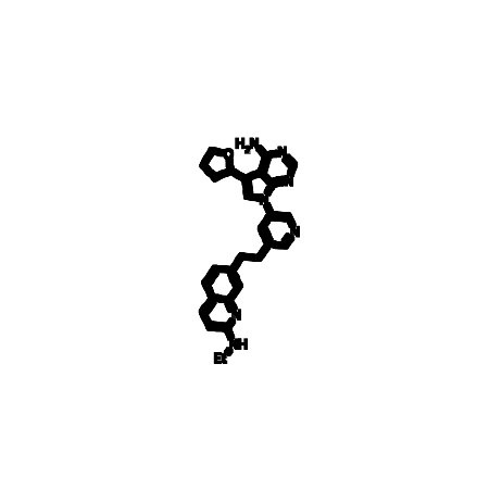 CCNc1ccc2ccc(CCc3cncc(-n4cc(C5CCCO5)c5c(N)ncnc54)c3)cc2n1